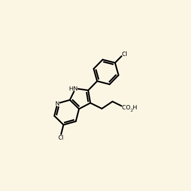 O=C(O)CCc1c(-c2ccc(Cl)cc2)[nH]c2ncc(Cl)cc12